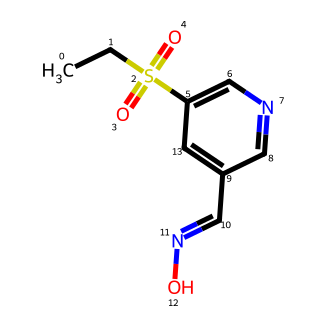 CCS(=O)(=O)c1cncc(C=NO)c1